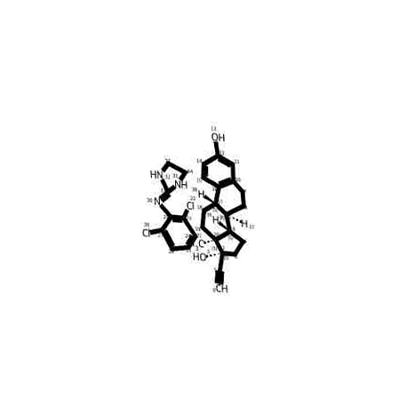 C#C[C@]1(O)CC[C@H]2[C@@H]3CCc4cc(O)ccc4[C@H]3CC[C@@]21C.Clc1cccc(Cl)c1N=C1NCCN1